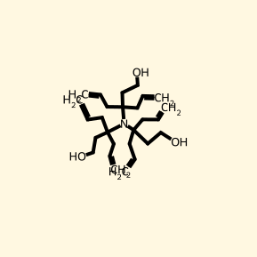 C=CCC(CC=C)(CCO)N(C(CC=C)(CC=C)CCO)C(CC=C)(CC=C)CCO